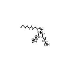 CCCCCCCCCCC(C)N(CCOCCO)CCOCCO